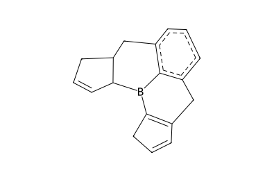 C1=CC2=C(C1)B1c3c(cccc3CC3CC=CC13)C2